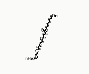 CCCCCCCCCCCCCCCCOC(=O)CCCOCCOCCOCCOCCCCCC